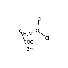 ClOCl.O=C([O-])[O-].[NH4+].[Zr+]